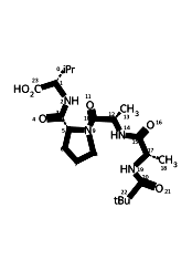 CC(C)[C@H](NC(=O)[C@H]1CCCN1C(=O)[C@H](C)NC(=O)[C@H](C)NC(=O)C(C)(C)C)C(=O)O